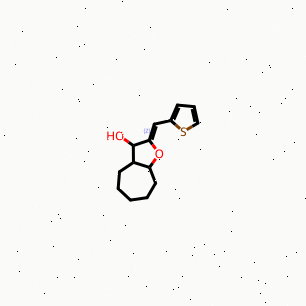 OC1/C(=C/c2cccs2)OC2CCCCCC21